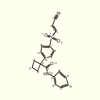 N#C/C=C/S(=O)(=O)c1ccc(C2(C(=O)Nc3ccccc3)CCC2)cc1